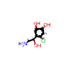 NCC(O)c1cc(O)c(O)cc1Cl